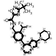 CC(C)(C)c1noc(C(=O)NCc2ccc(-c3ncnn4cc(N5CCOCC5)cc34)cc2C(F)F)n1